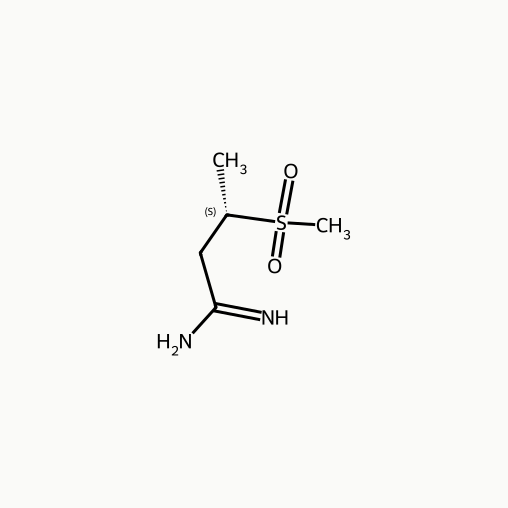 C[C@@H](CC(=N)N)S(C)(=O)=O